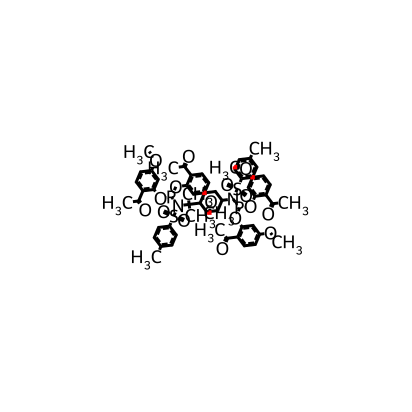 COc1ccc(C(C)=O)c(OP(Oc2cc(OC)ccc2C(C)=O)N(C2CCC(C(C)(C)N(P(Oc3cc(OC)ccc3C(C)=O)Oc3cc(OC)ccc3C(C)=O)S(=O)(=O)c3ccc(C)cc3)CC2)S(=O)(=O)c2ccc(C)cc2)c1